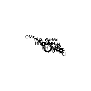 COCCOC(=O)Nc1ccc2c(c1)NCCCCC[C@H](NC(=O)/C=C/c1cc(Cl)ccc1-n1cnnn1)c1nc-2c(C(=O)OC)[nH]1